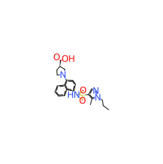 CCCn1ncc(S(=O)(=O)Nc2ccc(N3CC[C@@H](C(=O)O)C3)c3ccccc23)c1C